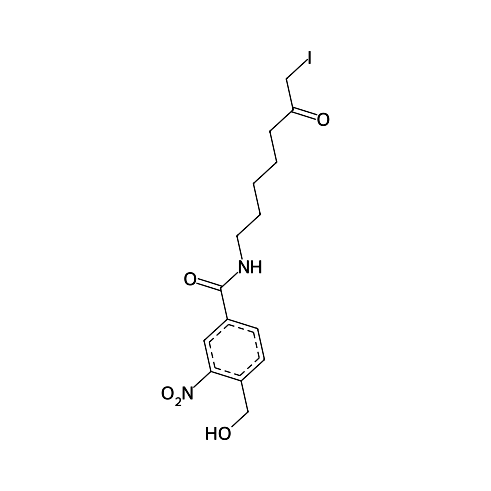 O=C(CI)CCCCCNC(=O)c1ccc(CO)c([N+](=O)[O-])c1